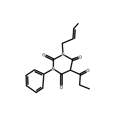 CC=CCN1C(=O)C(C(=O)CC)C(=O)N(c2ccccc2)C1=O